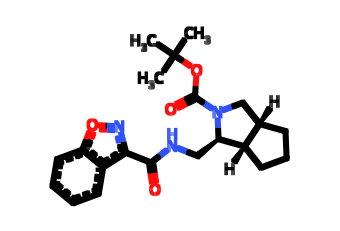 CC(C)(C)OC(=O)N1C[C@@H]2CCC[C@@H]2[C@H]1CNC(=O)c1noc2ccccc12